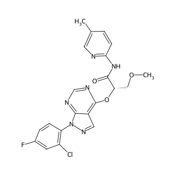 COC[C@H](Oc1ncnc2c1cnn2-c1ccc(F)cc1Cl)C(=O)Nc1ccc(C)cn1